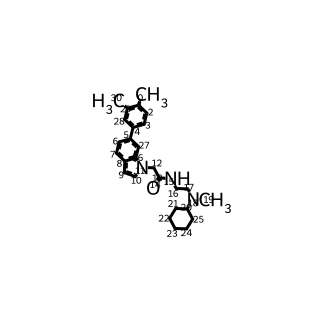 Cc1ccc(-c2ccc3ccn(CC(=O)NCCN(C)C4CCCCC4)c3c2)cc1C